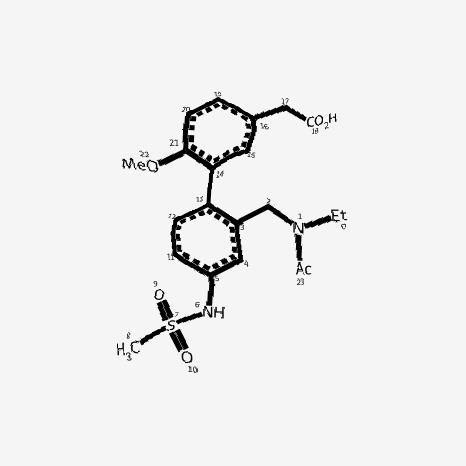 CCN(Cc1cc(NS(C)(=O)=O)ccc1-c1cc(CC(=O)O)ccc1OC)C(C)=O